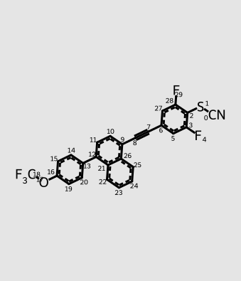 N#CSc1c(F)cc(C#Cc2ccc(-c3ccc(OC(F)(F)F)cc3)c3ccccc23)cc1F